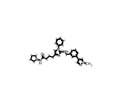 Cn1cc(-c2cccc(CNc3nc(CCCC(=O)NN4CCCC4)cn3-c3ccccc3)c2)cn1